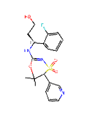 CC1(C)OC(N[C@@H](CCO)c2ccccc2F)=NS(=O)(=O)C1c1cccnc1